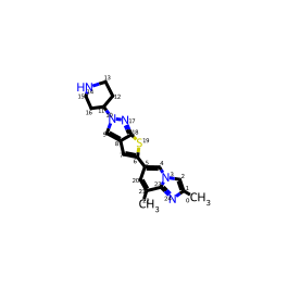 Cc1cn2cc(-c3cc4cn(C5CCNCC5)nc4s3)cc(C)c2n1